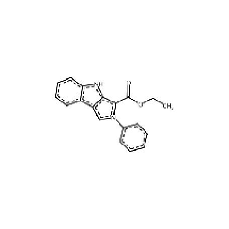 CCOC(=O)c1c2[nH]c3ccccc3c2cn1-c1ccccc1